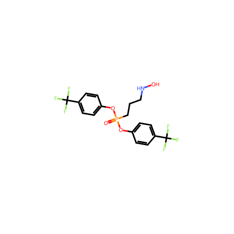 O=P(CCCNO)(Oc1ccc(C(F)(F)F)cc1)Oc1ccc(C(F)(F)F)cc1